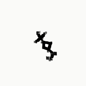 CN[C@H]1C[C@H](C(F)(F)F)C1